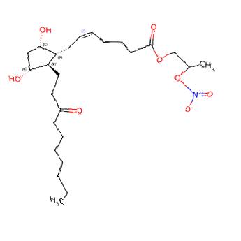 CCCCCCCC(=O)CC[C@@H]1[C@@H](C/C=C\CCCC(=O)OCC(C)O[N+](=O)[O-])[C@@H](O)C[C@H]1O